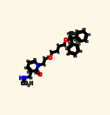 CC(C)(C)[Si](OCCCCOCCn1cccc(CNC(=O)O)c1=O)(c1ccccc1)c1ccccc1